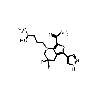 NC(=O)c1sc(-c2cn[nH]c2)c2c1N(CCC[C@@H](O)C(F)(F)F)CC(F)(F)C2